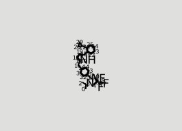 CC(C)n1cc(C(F)(F)F)nc1-c1ccc(Cc2ccc(-c3ccccc3C3CC3)[nH]2)cc1